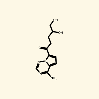 Nc1ncnn2c(C(=O)CCC(O)CO)ccc12